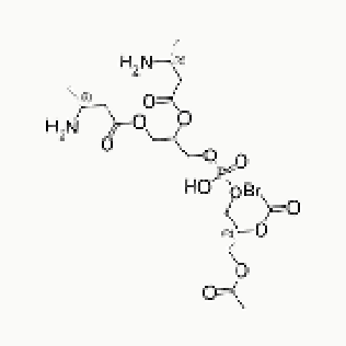 CC(=O)OC[C@H](COP(=O)(O)OCC(COC(=O)C[C@@H](C)N)OC(=O)C[C@@H](C)N)OC(=O)Br